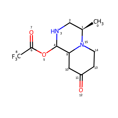 C[C@@H]1CNC(OC(=O)C(F)(F)F)C2CC(=O)CCN21